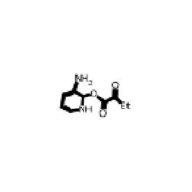 CCC(=O)C(=O)OC1NC=CC=C1N